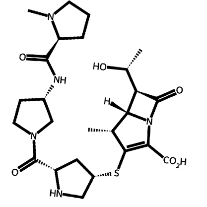 C[C@@H](O)[C@H]1C(=O)N2C(C(=O)O)=C(S[C@@H]3CN[C@H](C(=O)N4CC[C@H](NC(=O)[C@@H]5CCCN5C)C4)C3)[C@H](C)[C@H]12